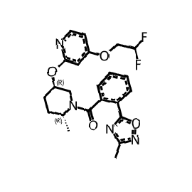 Cc1noc(-c2ccccc2C(=O)N2C[C@H](Oc3cc(OCC(F)F)ccn3)CC[C@H]2C)n1